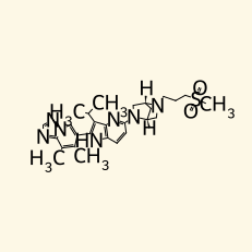 Cc1c(-c2[nH]c3ccc(N4C[C@H]5C[C@@H]4CN5CCCS(C)(=O)=O)nc3c2C(C)C)cn2ncnc2c1C